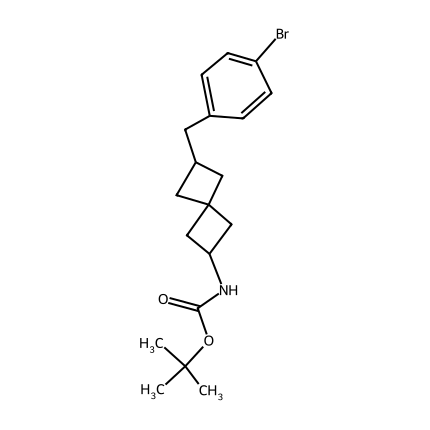 CC(C)(C)OC(=O)NC1CC2(CC(Cc3ccc(Br)cc3)C2)C1